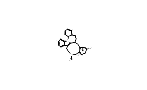 C[C@@]12C[C@@]13CC1CCC4C=CC=CC4n4c1c(c1ccccc14)CCN(C#N)C[C@@H]3CC[C@@H]2O